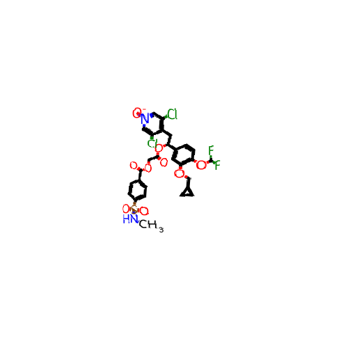 CNS(=O)(=O)c1ccc(C(=O)OCC(=O)OC(Cc2c(Cl)c[n+]([O-])cc2Cl)c2ccc(OC(F)F)c(OCC3CC3)c2)cc1